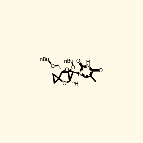 CCCCOC[C@@]12O[C@@H](n3cc(C)c(=O)[nH]c3=O)[C@@H](OC13CC3)C2OCCCC